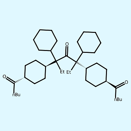 CCCCC(=O)[C@H]1CC[C@H](C(CC)(C(=O)C(CC)(C2CCCCC2)[C@H]2CC[C@H](C(=O)CCCC)CC2)C2CCCCC2)CC1